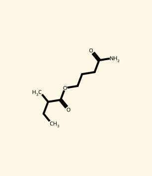 CCC(C)C(=O)OCCCC(N)=O